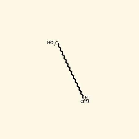 O=C(O)CCCCCCCCCCCCCCCCCCCCCCCCCCCC[Si](Cl)(Cl)Cl